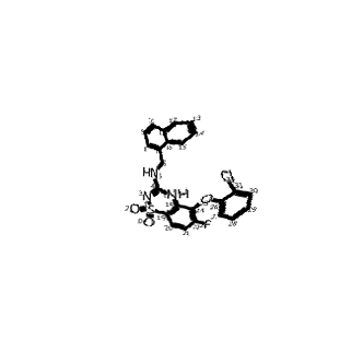 O=S1(=O)N=C(NCc2cccc3ccccc23)Nc2c1ccc(F)c2Oc1ccccc1Cl